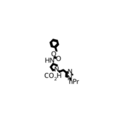 CCCn1cnc(C[C@@H](C(=O)O)N2CC[C@H](NC(=O)OCc3ccccc3)C2)c1